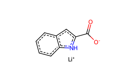 O=C([O-])c1cc2ccccc2[nH]1.[Li+]